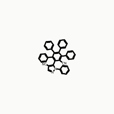 N#Cc1cnn(-c2ccccc2)c1-c1c(C#N)c(-c2ccccc2)c(-c2ccccc2)c(-c2ccccc2)c1-c1ccccc1